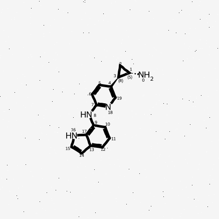 N[C@H]1C[C@@H]1c1ccc(Nc2cccc3cc[nH]c23)nc1